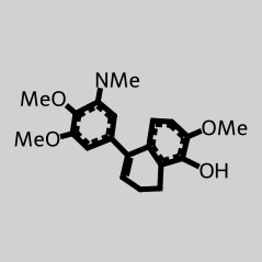 CNc1cc(C2=CCCc3c2ccc(OC)c3O)cc(OC)c1OC